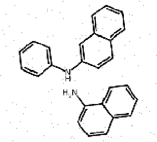 Nc1cccc2ccccc12.c1ccc(Nc2ccc3ccccc3c2)cc1